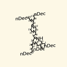 CCCCCCCCCCCCCCNC(CCN1CCN(CCN(CCCCCCCCCCCC)CCCCCCCCCCCC)CC1)CN(CCCCCCCCCCCCCC)CCCCCCCCCCCCCC